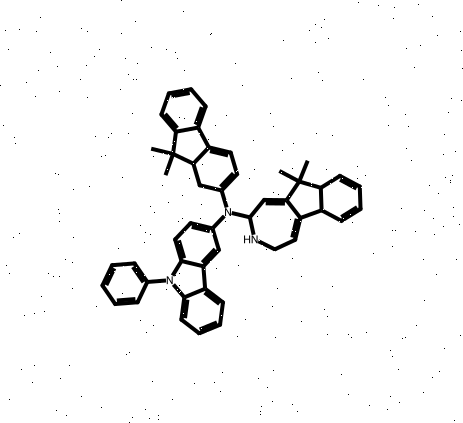 CC1(C)C2=CC(N(C3=CC=C4c5ccccc5C(C)(C)C4C3)c3ccc4c(c3)c3ccccc3n4-c3ccccc3)NCC=C2C2C=CC=CC21